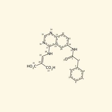 O=C(Cc1ccccc1)Nc1ccc2ncnc(NC=C(C(=O)O)C(=O)O)c2c1